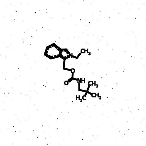 CCn1cc2ccccc2c1COC(=O)NCC(C)(C)C